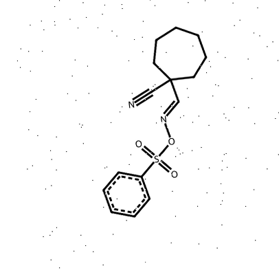 N#CC1(C=NOS(=O)(=O)c2ccccc2)CCCCCC1